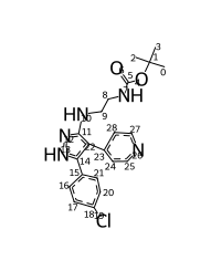 CC(C)(C)OC(=O)NCCNc1n[nH]c(-c2ccc(Cl)cc2)c1-c1ccncc1